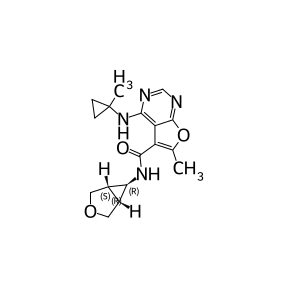 Cc1oc2ncnc(NC3(C)CC3)c2c1C(=O)N[C@H]1[C@@H]2COC[C@@H]21